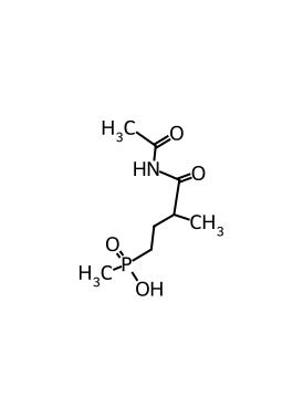 CC(=O)NC(=O)C(C)CCP(C)(=O)O